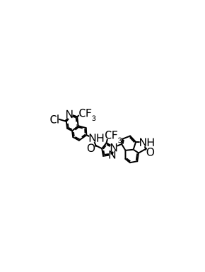 O=C1NC2=CC=C(n3ncc(C(=O)Nc4ccc5cc(Cl)nc(C(F)(F)F)c5c4)c3C(F)(F)F)C3C=CC=C1C23